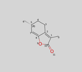 CC1=C2CC[C@@H](C)C=C2OC1=O